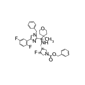 CC1([C@@H](NC[C@@H]2CN(C(=O)OCc3ccccc3)C[C@@H]2F)c2nc(-c3cc(F)ccc3F)cn2Cc2ccccc2)CCOCC1